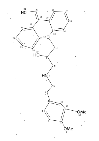 COc1ccc(CCNCC(O)COc2ccccc2C(=CC#N)c2ccccc2)cc1OC